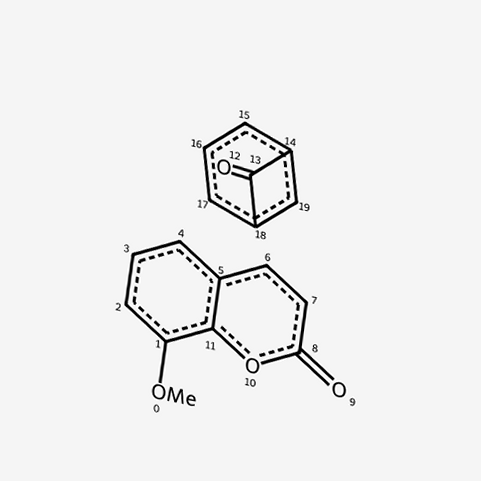 COc1cccc2ccc(=O)oc12.O=C1c2cccc1c2